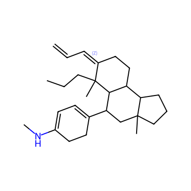 C=C/C=C1/CCC2C3CCCC3(C)CC(C3=CC=C(NC)CC3)C2C1(C)CCC